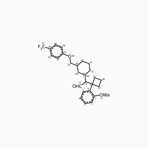 COc1ccccc1C1(C(C=O)N2CCCC(COc3ccc(C(F)(F)F)cc3)C2)CCC1